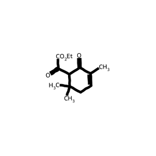 CCOC(=O)C(=O)C1C(=O)C(C)=CCC1(C)C